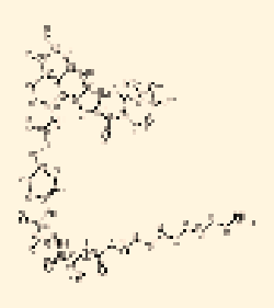 CC[C@@]1(O)C(=O)OCc2c1cc1n(c2=O)Cc2c-1nc1cc(F)c(C)c3c1c2[C@H](NC(=O)OCc1ccc(NC(=O)[C@H](C)NC(=O)[C@@H](NC(=O)COCCOCCOCCN)C(C)C)cc1)CC3